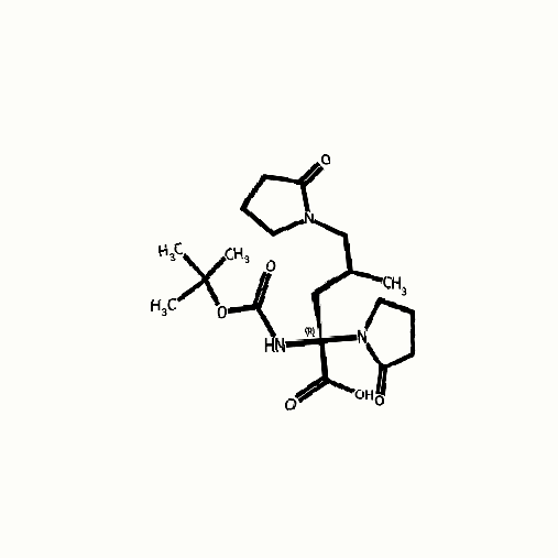 CC(CN1CCCC1=O)C[C@](NC(=O)OC(C)(C)C)(C(=O)O)N1CCCC1=O